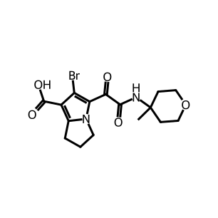 CC1(NC(=O)C(=O)c2c(Br)c(C(=O)O)c3n2CCC3)CCOCC1